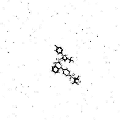 Cc1ccc(-n2nc(C(C)(C)C)cc2NC(=O)Nc2ccccc2CC2CCN(S(=O)(=O)c3c(C)noc3C)CC2)cc1